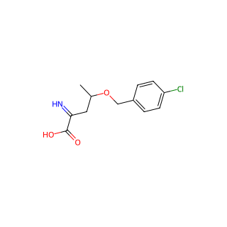 CC(CC(=N)C(=O)O)OCc1ccc(Cl)cc1